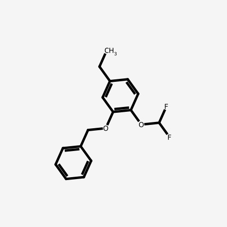 CCc1ccc(OC(F)F)c(OCc2ccccc2)c1